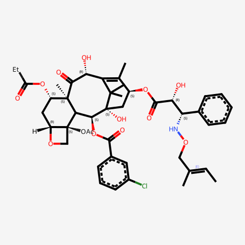 C/C=C(\C)CON[C@@H](c1ccccc1)[C@@H](O)C(=O)O[C@H]1C[C@@]2(O)[C@@H](OC(=O)c3cccc(Cl)c3)C3[C@](C)(C(=O)[C@H](O)C(=C1C)C2(C)C)[C@@H](OC(=O)CC)C[C@H]1OC[C@@]31OC(C)=O